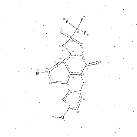 COc1ccc(Cn2c(=O)cc(OS(=O)(=O)C(F)(F)F)c3nc(Br)ccc32)cc1